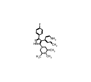 C=C/C=C(\C=C/N)c1c(-c2ccc(F)cc2)n[nH]c1N1CC(C)N(C)C(C)C1